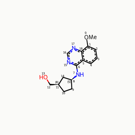 COc1cccc2c(N[C@H]3CC[C@@H](CO)C3)ncnc12